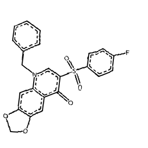 O=c1c(S(=O)(=O)c2ccc(F)cc2)cn(Cc2ccccc2)c2cc3c(cc12)OCO3